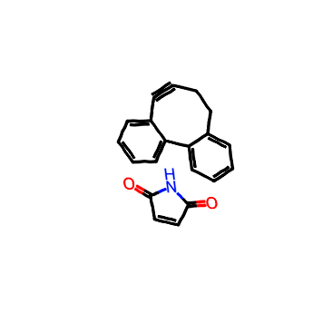 C1#Cc2ccccc2-c2ccccc2CC1.O=C1C=CC(=O)N1